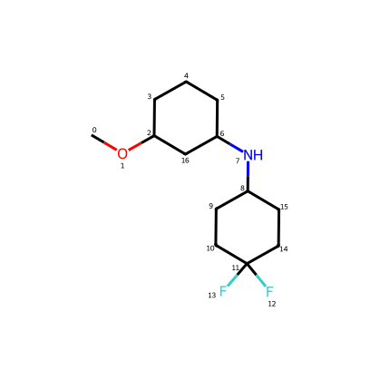 COC1CCCC(NC2CCC(F)(F)CC2)C1